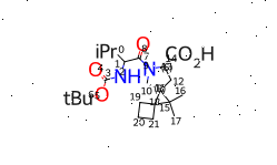 CC(C)C(NC(=O)OC(C)(C)C)C(=O)N1C[C@]2(C[C@H]1C(=O)O)C(C)(C)C21CCC1